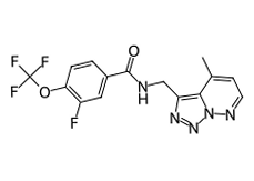 Cc1ccnn2nnc(CNC(=O)c3ccc(OC(F)(F)F)c(F)c3)c12